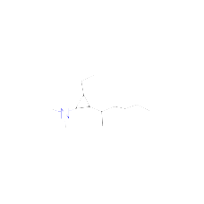 CCCCC(C)C1C(CC)C1N(C)C